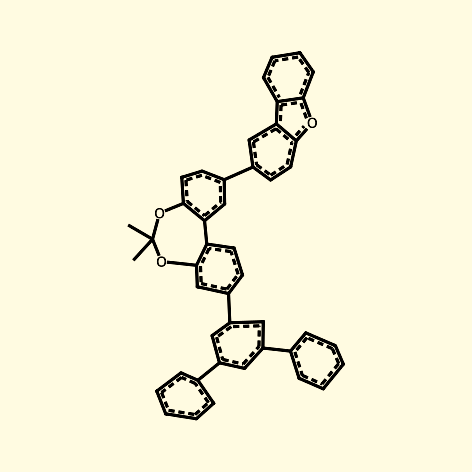 CC1(C)Oc2cc(-c3cc(-c4ccccc4)cc(-c4ccccc4)c3)ccc2-c2cc(-c3ccc4oc5ccccc5c4c3)ccc2O1